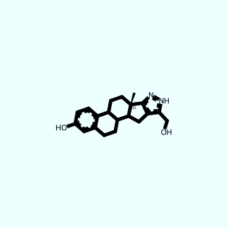 C[C@]12CCC3c4ccc(O)cc4CCC3C1Cc1c2n[nH]c1CO